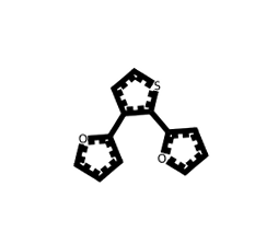 [c]1cc(-c2ccco2)c(-c2ccco2)s1